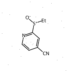 CC[S+]([O-])c1cc(C#N)ccn1